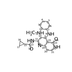 CNc1ccccc1Nc1cc(NC(=O)C2CC2)nc2cc[nH]c(=O)c12